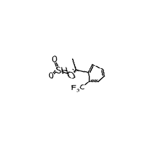 C[C](O[SH](=O)=O)c1ccccc1C(F)(F)F